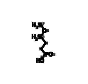 O=C(O)CC[SiH2]O[SiH3]